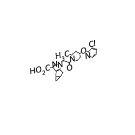 C[C@H]1C[C@@H](Oc2ncccc2Cl)CCN1C(=O)Cn1nc(C(=O)O)c2c1CC1CC21